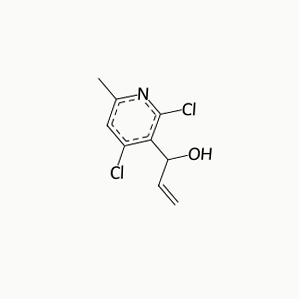 C=CC(O)c1c(Cl)cc(C)nc1Cl